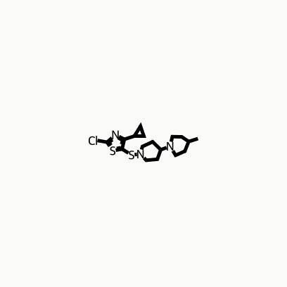 CC1CCN(C2CCN(Sc3sc(Cl)nc3C3CC3)CC2)CC1